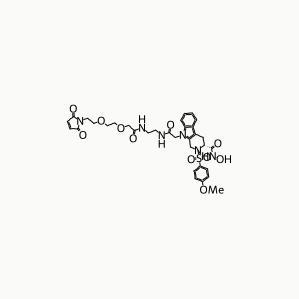 COc1ccc(S(=O)(=O)N2Cc3c(c4ccccc4n3CC(=O)NCCNC(=O)COCCOCCN3C(=O)C=CC3=O)C[C@@H]2C(=O)NO)cc1